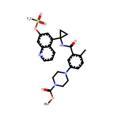 Cc1ccc(N2CCN(C(=O)OC(C)(C)C)CC2)cc1C(=O)NC1(c2cc(OS(=O)(=O)C(F)(F)F)cc3ncccc23)CC1